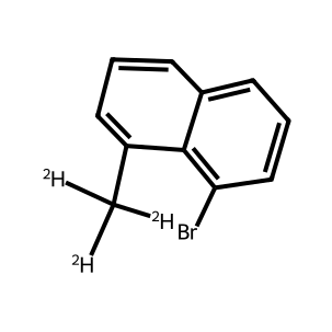 [2H]C([2H])([2H])c1cccc2cccc(Br)c12